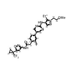 CCc1c(Nc2ncc(-c3ccc(CC(=O)Nc4cc(C5(C(F)(F)F)CC5)on4)c(F)c3)cn2)cnn1CCOC